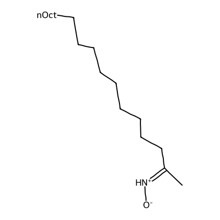 CCCCCCCCCCCCCCCCCC(C)=[NH+][O-]